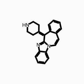 C1=Cn2c(nc3ccccc32)C(=C2CCNCC2)c2ccccc21